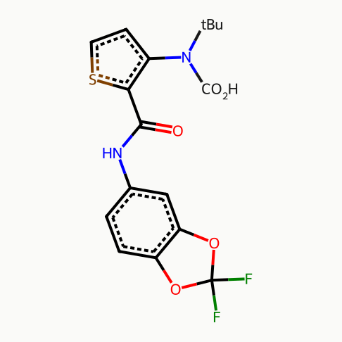 CC(C)(C)N(C(=O)O)c1ccsc1C(=O)Nc1ccc2c(c1)OC(F)(F)O2